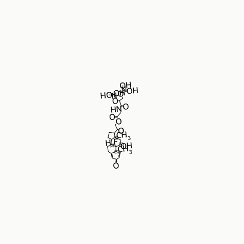 C[C@]12C[C@H](O)C3(F)[C@@H](CCC4=CC(=O)C=C[C@@]43C)C1CCC2C(=O)COC(=O)CNC(=O)C(CON(O)O)ON(O)O